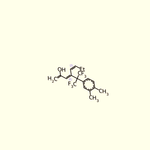 C=C(O)/C=C(\C=C/CC)C(c1ccc(C)c(C)c1)(C(F)(F)F)C(F)(F)F